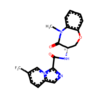 CN1C(=O)[C@@H](NC(=O)c2ncc3ccc(C(F)(F)F)cn23)COc2ccccc21